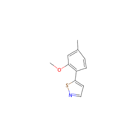 COc1cc(C)ccc1-c1ccns1